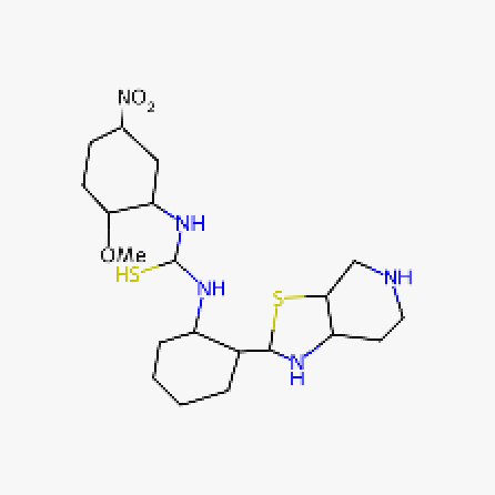 COC1CCC([N+](=O)[O-])CC1NC(S)NC1CCCCC1C1NC2CCNCC2S1